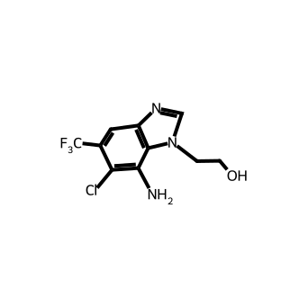 Nc1c(Cl)c(C(F)(F)F)cc2ncn(CCO)c12